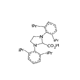 CC(C)c1cccc(C(C)C)c1N1CCN(c2c(C(C)C)cccc2C(C)C)C1C(=O)O